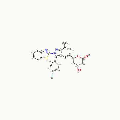 CC(C)c1nn(-c2nc3ccccc3s2)c(-c2ccc(F)cc2)c1/C=C/[C@@H]1C[C@@H](O)CC(=O)O1